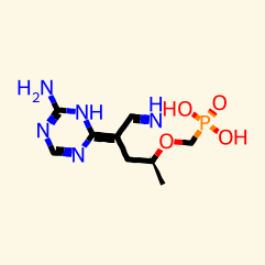 C[C@@H](C/C(C=N)=C1\N=CN=C(N)N1)OCP(=O)(O)O